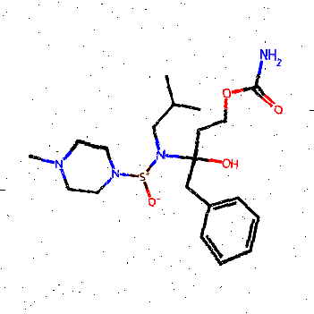 CC(C)CN([S+]([O-])N1CCN(C)CC1)C(O)(CCOC(N)=O)Cc1ccccc1